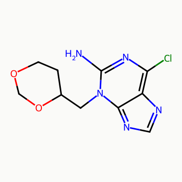 Nc1nc(Cl)c2ncnc-2n1CC1CCOCO1